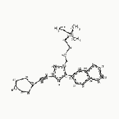 C[Si](C)(C)CCOCn1nc(C#CC2CCOCC2)nc1-c1ccc2cnccc2c1